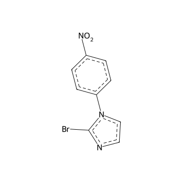 O=[N+]([O-])c1ccc(-n2ccnc2Br)cc1